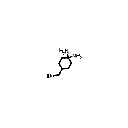 CCC(C)CC1CCC(N)(N)CC1